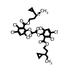 CCC(CCOC(=O)c1c(Cl)c(Cl)cc(Cl)c1OC(=O)C(=O)Oc1c(Cl)cc(Cl)c(Cl)c1C(=O)OCCC(CC)C1CC1)C1CC1